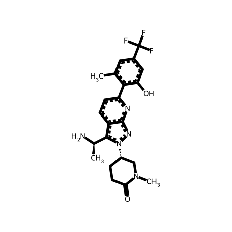 Cc1cc(C(F)(F)F)cc(O)c1-c1ccc2c([C@@H](C)N)n([C@H]3CCC(=O)N(C)C3)nc2n1